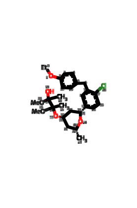 CCOc1ccc(Cc2cc([C@H]3C[C@@H](OC(C)(OC)C(C)(O)OC)C[C@@H](C)O3)ccc2Cl)cc1